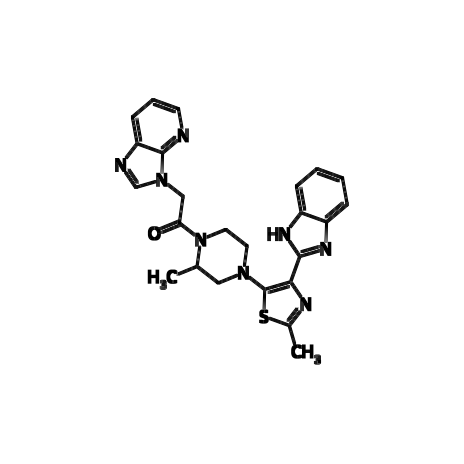 Cc1nc(-c2nc3ccccc3[nH]2)c(N2CCN(C(=O)Cn3cnc4cccnc43)C(C)C2)s1